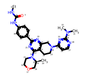 CCNC(=O)Nc1ccc(-c2nc3c(c(N4CCOC[C@@H]4C)n2)CCN(c2ccnc(N(C)C)n2)C3)cc1